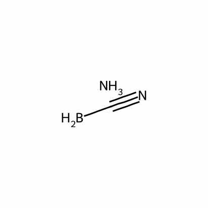 BC#N.N